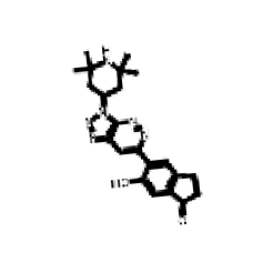 CC1(C)CC(n2nnc3cc(-c4cc5c(cc4O)C(=O)CC5)nnc32)CC(C)(C)N1